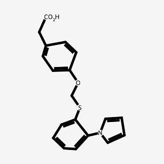 O=C(O)Cc1ccc(OCSc2ccccc2-n2cccc2)cc1